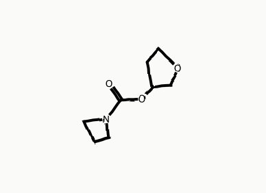 O=C(OC1CCOC1)N1C[CH]C1